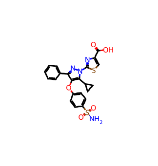 NS(=O)(=O)c1ccc(Oc2c(-c3ccccc3)nn(-c3nc(C(=O)O)cs3)c2C2CC2)cc1